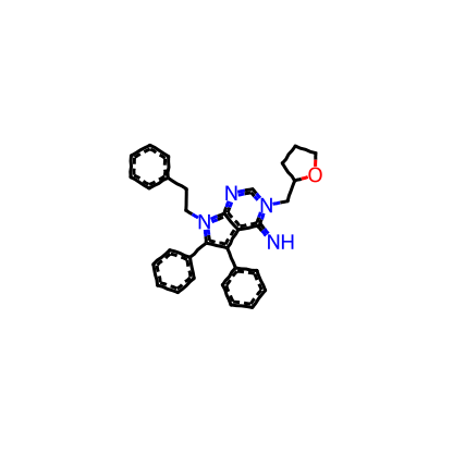 N=c1c2c(-c3ccccc3)c(-c3ccccc3)n(CCc3ccccc3)c2ncn1CC1CCCO1